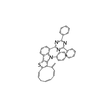 C=C1/C=C\C=C/C/C=C\c2sc3c4cccc(-c5nc(-c6ccccc6)nc(-c6ccccc6)n5)c4n(-c4ccccc4)c3c21